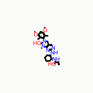 C=CC(O)N[C@H]1CCCC[C@H]1Nc1ncc2c(n1)N(C)C(O)N(c1c(C)c(OC)cc(OC)c1C)C2